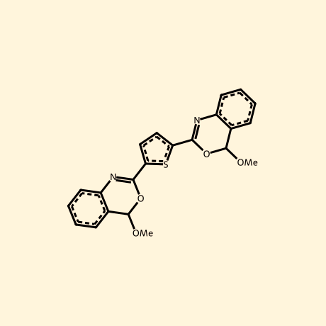 COC1OC(c2ccc(C3=Nc4ccccc4C(OC)O3)s2)=Nc2ccccc21